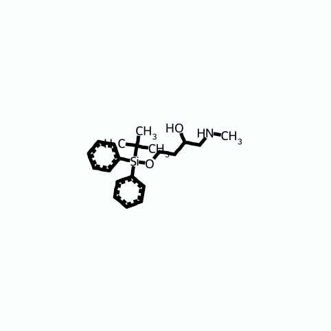 CNCC(O)CCO[Si](c1ccccc1)(c1ccccc1)C(C)(C)C